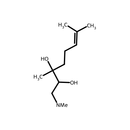 CNCC(O)C(C)(O)CCC=C(C)C